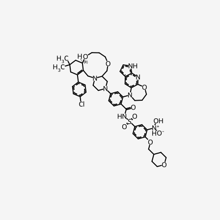 CC1(C)CC(c2ccc(Cl)cc2)=C2CN3CCN(c4ccc(C(=O)NS(=O)(=O)c5ccc(OCC6CCOCC6)c([NH+]([O-])O)c5)c(N5CCCOc6nc7[nH]ccc7cc65)c4)CC3COCCCO[C@@H]2C1